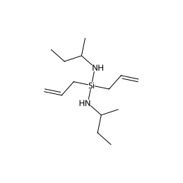 C=CC[Si](CC=C)(NC(C)CC)NC(C)CC